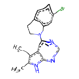 Cc1[nH]c2ncnc(N3CCc4ccc(Br)cc43)c2c1C